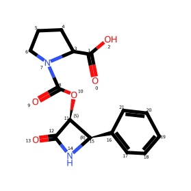 O=C(O)C1CCCN1C(=O)O[C@@H]1C(=O)N[C@@H]1c1ccccc1